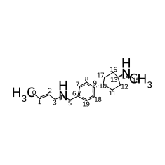 CC=CCNCc1ccc([C@H]2CC[C@H](NC)CC2)cc1